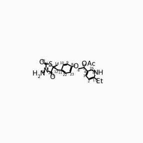 CCC1=CC=C([C@@H](COc2ccc(CC3(C)SC(=O)N(N)C3=O)cc2)OC(C)=O)CN1